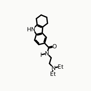 CCN(CC)CCN(I)C(=O)c1ccc2[nH]c3c(c2c1)CCCC3